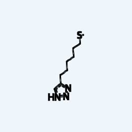 [S]CCCCCCc1c[nH]nn1